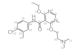 CCOc1ncnc(OCCN(C)C)c1C(=O)Nc1ccc(Cl)c(C)c1